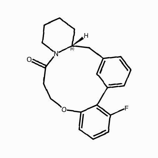 O=C1CCOc2cccc(F)c2-c2cccc(c2)C[C@H]2CCCCN12